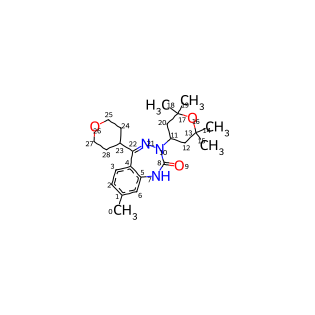 Cc1ccc2c(c1)NC(=O)N(C1CC(C)(C)OC(C)(C)C1)N=C2C1CCOCC1